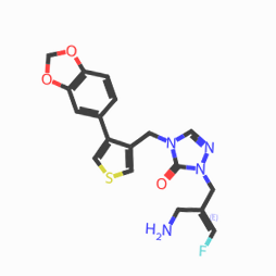 NC/C(=C\F)Cn1ncn(Cc2cscc2-c2ccc3c(c2)OCO3)c1=O